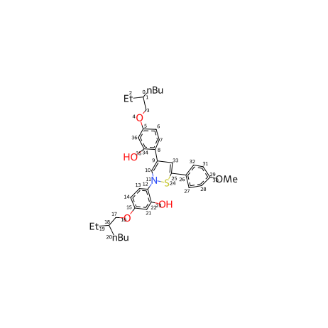 CCCCC(CC)COc1ccc(C2=CN(c3ccc(OCC(CC)CCCC)cc3O)SC(c3ccc(OC)cc3)=C2)c(O)c1